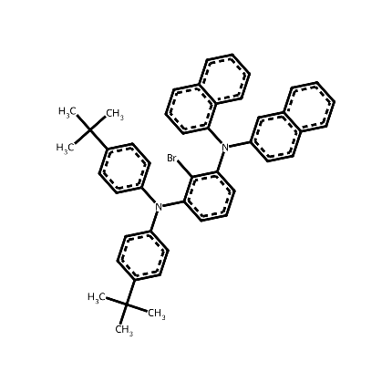 CC(C)(C)c1ccc(N(c2ccc(C(C)(C)C)cc2)c2cccc(N(c3ccc4ccccc4c3)c3cccc4ccccc34)c2Br)cc1